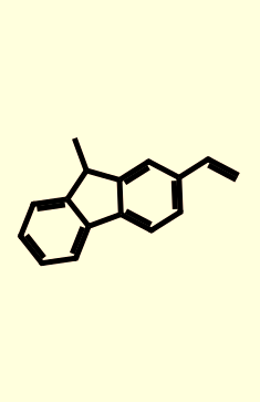 C=Cc1ccc2c(c1)C(C)c1ccccc1-2